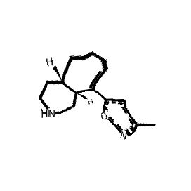 Cc1cc(C2=CCC[C@H]3CCNC[C@@H]23)on1